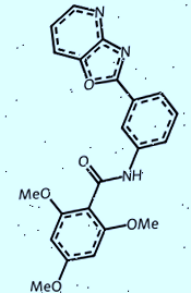 COc1cc(OC)c(C(=O)Nc2cccc(-c3nc4ncccc4o3)c2)c(OC)c1